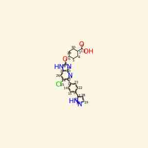 O=C(O)C1CCC(Oc2nc3nc(-c4ccc(-c5ccn[nH]5)cc4)c(Cl)cc3[nH]2)CC1